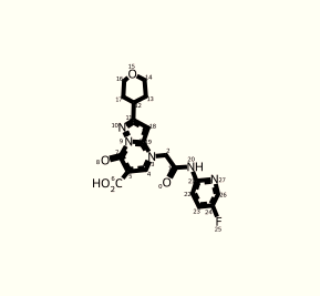 O=C(Cn1cc(C(=O)O)c(=O)n2nc(C3CCOCC3)cc12)Nc1ccc(F)cn1